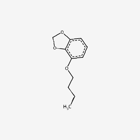 CCCCOc1cccc2c1OCO2